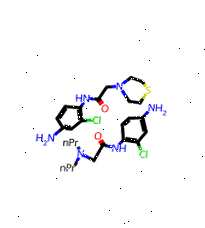 CCCN(CCC)CC(=O)Nc1ccc(N)cc1Cl.Nc1ccc(NC(=O)CN2CCSCC2)c(Cl)c1